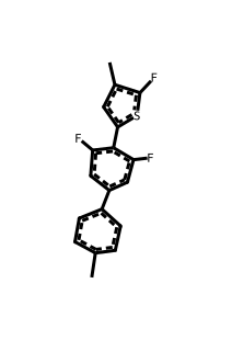 Cc1ccc(-c2cc(F)c(-c3cc(C)c(F)s3)c(F)c2)cc1